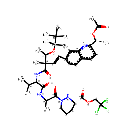 CC(=O)O[C@H](C)c1ccc2ccc(/C=C/C(C)(C(=O)N[C@H](C(=O)NC(C)C(=O)N3CCC[C@@H](C(=O)OCC(Cl)(Cl)Cl)N3)C(C)C)C(C)O[Si](C)(C)C(C)(C)C)cc2n1